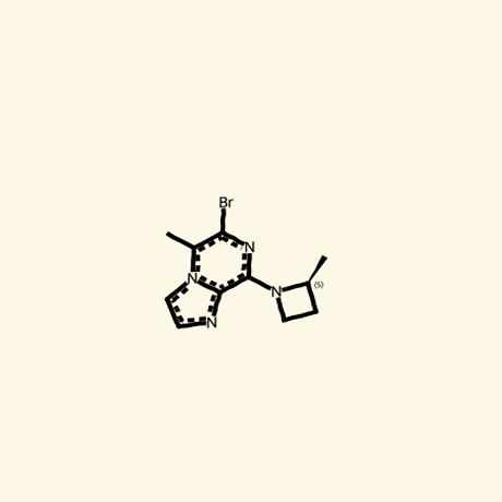 Cc1c(Br)nc(N2CC[C@@H]2C)c2nccn12